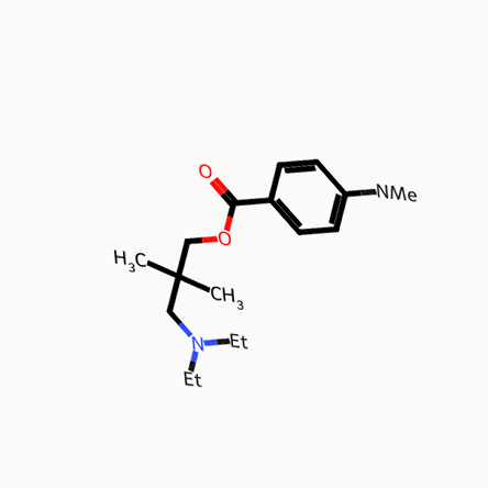 CCN(CC)CC(C)(C)COC(=O)c1ccc(NC)cc1